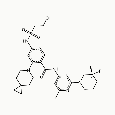 Cc1cc(NC(=O)c2ccc(NS(=O)(=O)CCO)cc2N2CCC3(CC2)CC3)nc(N2CCC[C@@](C)(F)C2)n1